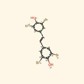 Oc1c(Br)cc(C=Cc2cc(Br)c(O)c(Br)c2)cc1Br